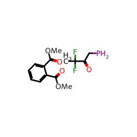 CC(F)(F)C(=O)CP.COC(=O)c1ccccc1C(=O)OC